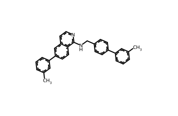 Cc1cccc(-c2ccc(CNc3nccc4cc(-c5cccc(C)c5)ccc34)cc2)c1